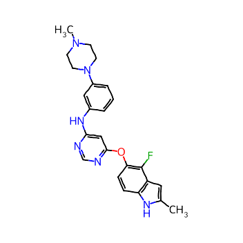 Cc1cc2c(F)c(Oc3cc(Nc4cccc(N5CCN(C)CC5)c4)ncn3)ccc2[nH]1